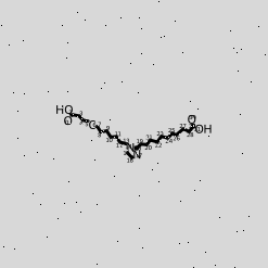 O=C(O)CCCCCCCCCCCN1CCN=C1CCCCCCCCCCC(=O)O